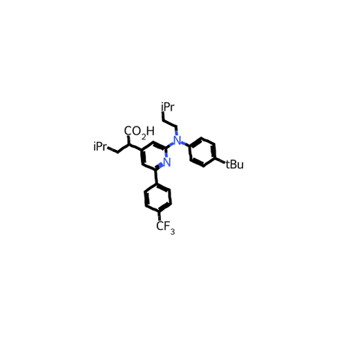 CC(C)CCN(c1ccc(C(C)(C)C)cc1)c1cc(C(CC(C)C)C(=O)O)cc(-c2ccc(C(F)(F)F)cc2)n1